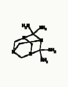 NC1(N)N2CN3CN(C2)C(N)(N)N1C3